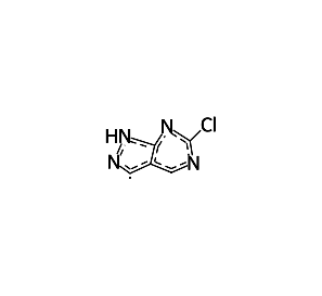 Clc1ncc2[c]n[nH]c2n1